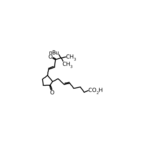 CCCCC(C)(C)C(=O)C=CC1CCC(=O)C1CC=CCCCC(=O)O